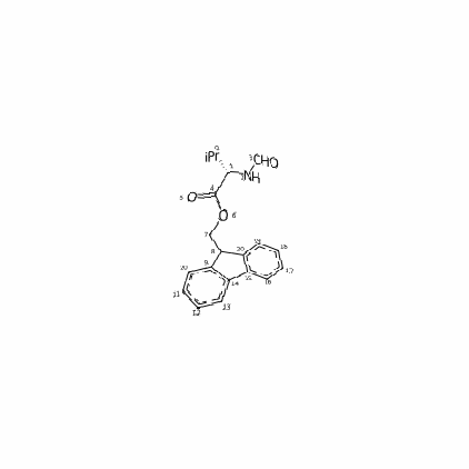 CC(C)[C@H](NC=O)C(=O)OCC1c2ccccc2-c2ccccc21